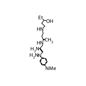 C=C(CCNCCC(O)CC)NC/C(N)=C/N(N)c1ccc(NC)cc1